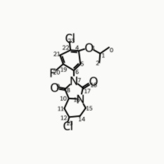 CC(C)Oc1cc(N2C(=O)C3CC(Cl)CCN3C2=O)c(F)cc1Cl